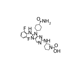 NC(=O)[C@H]1CC[C@H](n2c(Nc3c(F)cccc3F)nc3cnc(NC4CCCN(C(=O)O)C4)nc32)CC1